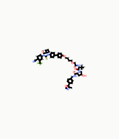 Cc1ncoc1-c1ccc(CNC(=O)C2CC(O)CN2C(=O)[C@@H](NC(=O)COCCCCOc2ccc(-c3ccc(N4C(=S)N(c5ccc(C#N)c(C(F)(F)F)c5)C(=O)C45CCC5)cc3)cc2)C(C)(C)C)cc1